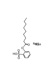 CCCCCCCCC(=O)Oc1ccccc1S(=O)(=O)O.[NaH].[NaH]